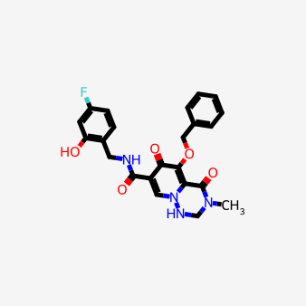 CN1CNn2cc(C(=O)NCc3ccc(F)cc3O)c(=O)c(OCc3ccccc3)c2C1=O